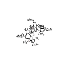 COc1cc(C)c(P(C[C@@H]2OC(C)(C)O[C@H]2CP(c2c(C)cc(OC)cc2C)c2c(C)cc(OC)cc2C)c2c(C)cc(OC)cc2C)c(C)c1